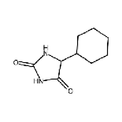 O=C1NC(=O)C(C2CCCCC2)N1